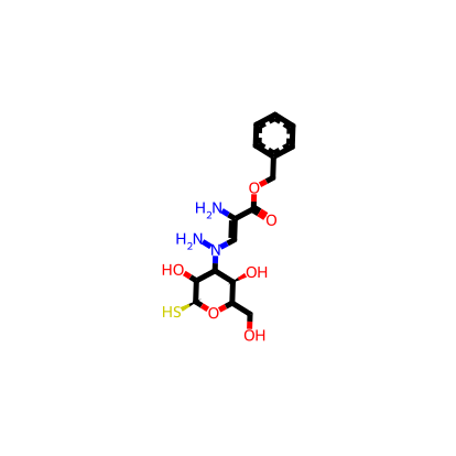 N/C(=C\N(N)C1C(O)[C@H](S)OC(CO)[C@@H]1O)C(=O)OCc1ccccc1